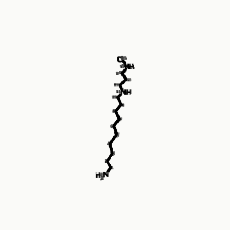 NCCCCCCCCCCNCCCNCl